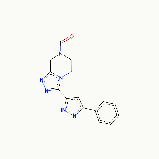 O=CN1CCn2c(nnc2-c2cc(-c3ccccc3)n[nH]2)C1